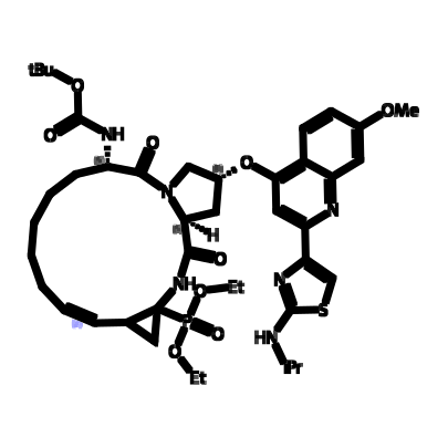 CCOP(=O)(OCC)C12CC1/C=C\CCCCC[C@H](NC(=O)OC(C)(C)C)C(=O)N1C[C@H](Oc3cc(-c4csc(NC(C)C)n4)nc4cc(OC)ccc34)C[C@H]1C(=O)N2